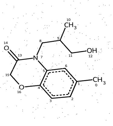 Cc1ccc2c(c1)N(CC(C)CO)C(=O)CO2